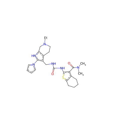 CCN1CCc2c([nH]c(-n3cccc3)c2CNC(=O)Nc2sc3c(c2C(=O)N(C)C)CCCC3)C1